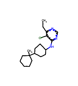 CCc1ncnc(NC2CCC(C3(C)CCCCC3)CC2)c1Cl